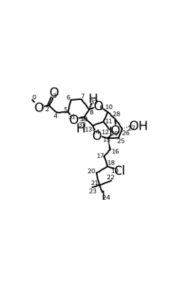 COC(=O)CC1CC[C@@H]2OC3C(I)C(O[C@@]4(CCC(Cl)CC(C)(C)I)C[C@@H](O)C3O4)[C@H]2O1